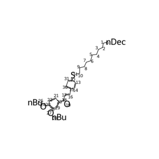 CCCCCCCCCCCCCCCCCCCCSc1ccc(C=CC(=O)c2ccc(OCCCC)c(OCCCC)c2)cc1